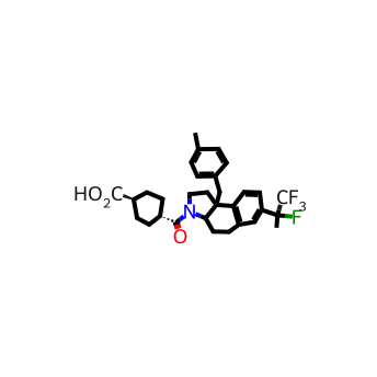 Cc1ccc(CC23CCN(C(=O)[C@H]4CC[C@H](C(=O)O)CC4)C2CCc2cc(C(C)(F)C(F)(F)F)ccc23)cc1